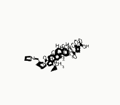 CC1([C@@H]2CC[C@]3(C(=O)N4CCC[C@@H]4CN4CCCC4)CC[C@]4(C)[C@H](CC[C@@H]5[C@@]6(C)CC[C@H](OC(=O)[C@@H]7C[C@H](C(=O)O)C7(C)C)C(C)(C)[C@@H]6CC[C@]54C)[C@@H]23)CC1